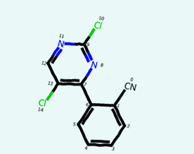 N#Cc1ccccc1-c1nc(Cl)ncc1Cl